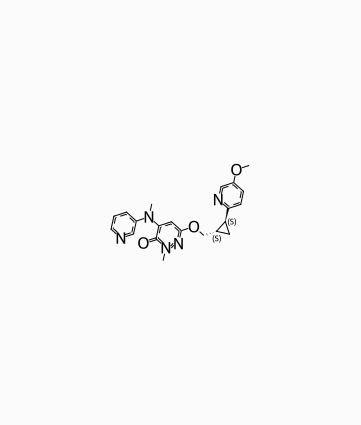 COc1ccc([C@H]2C[C@@H]2COc2cc(N(C)c3cccnc3)c(=O)n(C)n2)nc1